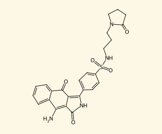 NC1=C2C(=O)NC(c3ccc(S(=O)(=O)NCCCN4CCCC4=O)cc3)=C2C(=O)c2ccccc21